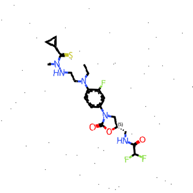 CCN(CCNN(C)C(=S)C1CC1)c1ccc(N2C[C@H](CNC(=O)C(F)F)OC2=O)cc1F